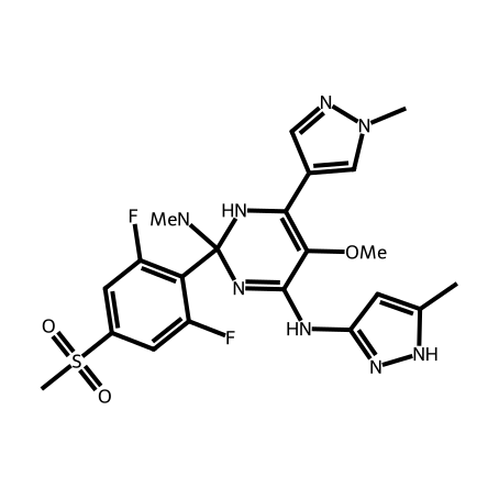 CNC1(c2c(F)cc(S(C)(=O)=O)cc2F)N=C(Nc2cc(C)[nH]n2)C(OC)=C(c2cnn(C)c2)N1